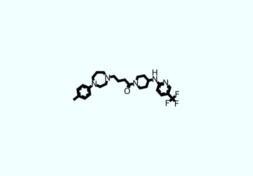 Cc1ccc(N2CCCN(CCCC(=O)N3CCC(Nc4ccc(C(F)(F)F)cn4)CC3)CC2)cc1